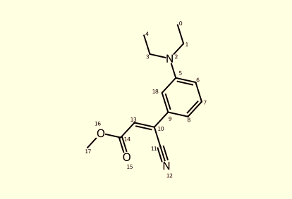 CCN(CC)c1cccc(C(C#N)=CC(=O)OC)c1